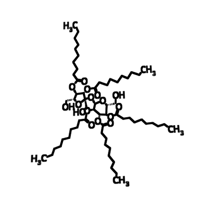 CCCCCCCCCC(=O)O[C@@H]1[C@@H](OC(=O)CCCCCCCCC)[C@@H](O[C@]2(CO)O[C@H](CO)[C@@H](OC(=O)CCCCCCCCC)[C@@H]2OC(=O)CCCCCCCCC)O[C@H](CO)[C@H]1OC(=O)CCCCCCCCC